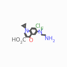 NCCN(F)c1cc2c(=O)c(C(=O)O)cn(C3CC3)c2cc1Cl